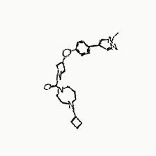 CN1CC(c2ccc(OC3CN(C(=O)N4CCCN(C5CCC5)CC4)C3)cc2)C=N1